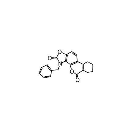 O=c1oc2c(ccc3oc(=O)n(Cc4ccccc4)c32)c2c1CCCC2